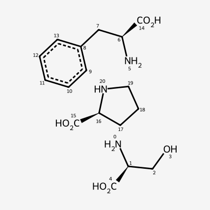 N[C@@H](CO)C(=O)O.N[C@@H](Cc1ccccc1)C(=O)O.O=C(O)[C@@H]1CCCN1